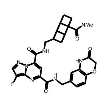 CNC(=O)C12C3C4C1C1C2C3C41CNC(=O)c1cc(C(=O)NCc2ccc3c(c2)NC(=O)CO3)nc2c(F)cnn12